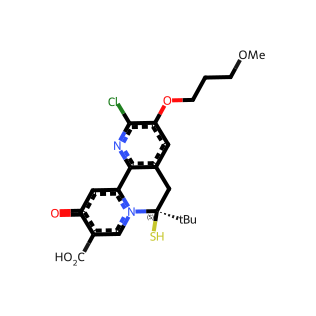 COCCCOc1cc2c(nc1Cl)-c1cc(=O)c(C(=O)O)cn1[C@@](S)(C(C)(C)C)C2